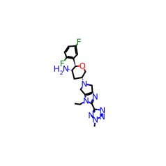 CCn1c(-c2nnn(C)n2)nc2c1CN([C@H]1CO[C@H](c3cc(F)ccc3F)[C@@H](N)C1)C2